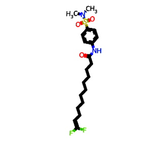 CN(C)S(=O)(=O)c1ccc(NC(=O)CCCCCCCCCC=C(F)F)cc1